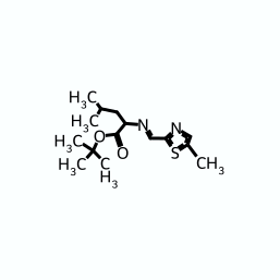 Cc1cnc(C=NC(CC(C)C)C(=O)OC(C)(C)C)s1